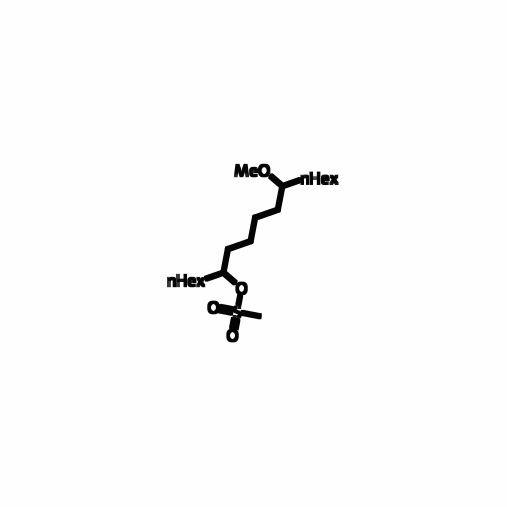 CCCCCCC(CCCCC(CCCCCC)OS(C)(=O)=O)OC